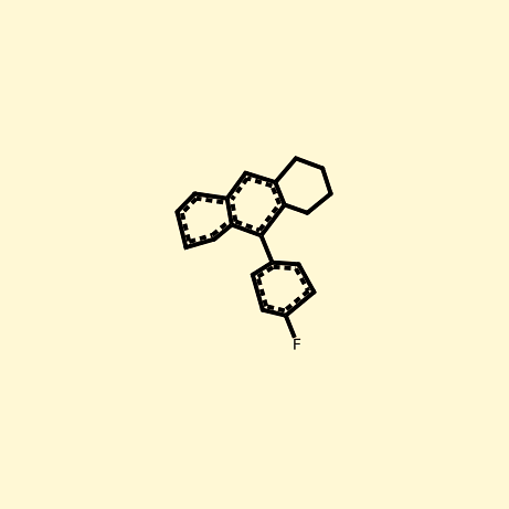 Fc1ccc(-c2c3c(cc4ccccc24)CCCC3)cc1